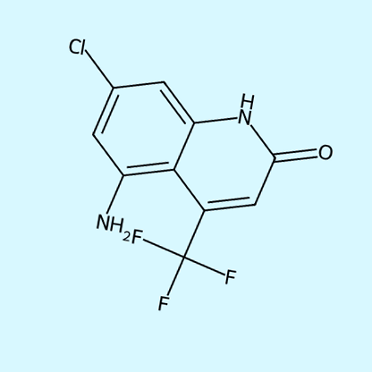 Nc1cc(Cl)cc2[nH]c(=O)cc(C(F)(F)F)c12